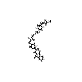 Cn1c2ccncc2c2ccc(-c3ccc(O[C@H]4C[C@H](OCCOc5ccc(OC6CNC6)nc5)C4)nc3)cc21